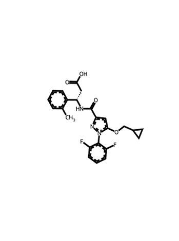 Cc1ccccc1[C@H](CC(=O)O)NC(=O)c1cc(OCC2CC2)n(-c2c(F)cccc2F)n1